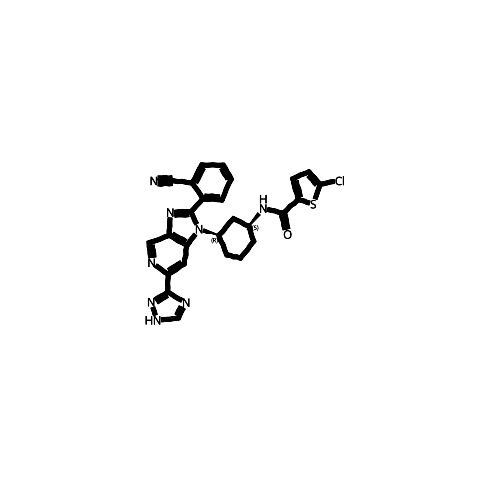 N#Cc1ccccc1-c1nc2cnc(-c3nc[nH]n3)cc2n1[C@@H]1CCC[C@H](NC(=O)c2ccc(Cl)s2)C1